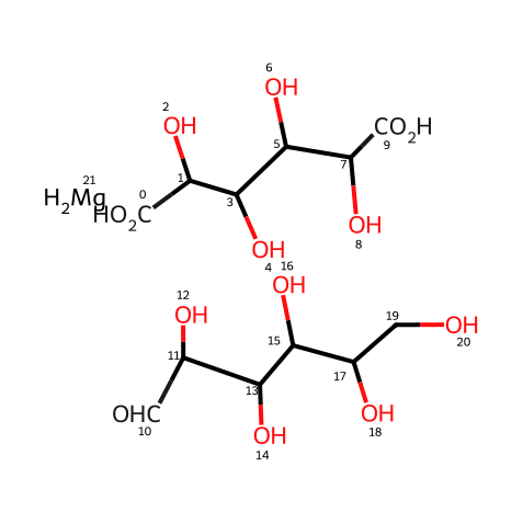 O=C(O)C(O)C(O)C(O)C(O)C(=O)O.O=CC(O)C(O)C(O)C(O)CO.[MgH2]